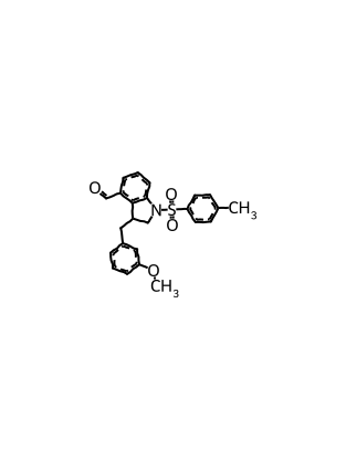 COc1cccc(CC2CN(S(=O)(=O)c3ccc(C)cc3)c3cccc(C=O)c32)c1